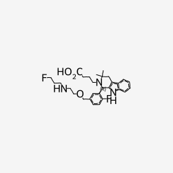 CC1(C)Cc2c([nH]c3ccccc23)[C@@H](c2cc(COCCNCCCF)ccc2F)N1CCCC(=O)O